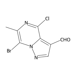 Cc1nc(Cl)c2c(C=O)cnn2c1Br